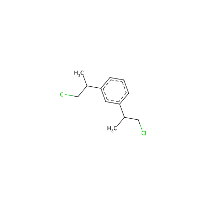 CC(CCl)c1cccc(C(C)CCl)c1